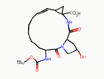 CC(C)(C)OC(=O)NC1CCCCCC=CC2CC2(C(=O)O)NC(=O)C2CC(O)CN2C1=O